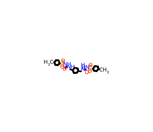 Cc1ccc(S(=O)(=O)NC(=O)NCc2ccc(CNC(=O)NS(=O)(=O)c3ccc(C)cc3)cc2)cc1